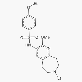 CCOc1ccc(S(=O)(=O)Nc2cc3c(nc2OC)CCN(CC)CC3)cc1